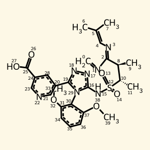 C=N/C(=N\C=C(C)C)[C@@H](C)[C@H](C)S(=O)(=O)Nc1nnc(-c2cncc(C(=O)O)c2)n1-c1c(OC)cccc1OC